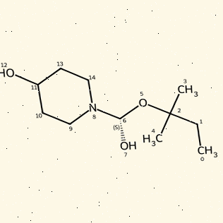 CCC(C)(C)O[C@H](O)N1CCC(O)CC1